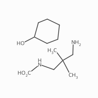 CC(C)(CN)CNC(=O)O.OC1CCCCC1